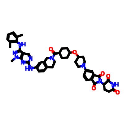 Cc1cccc(C)c1Nc1nn(C)c2nc(Nc3ccc4c(c3)CN(C(=O)C3CCC(OC5CCN(c6ccc7c(c6)C(=O)N(C6CCC(=O)NC6=O)C7=O)CC5)CC3)CC4)ncc12